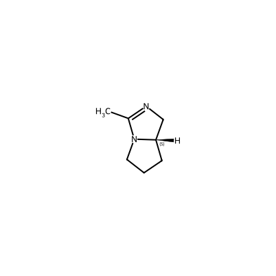 CC1=NC[C@@H]2CCCN12